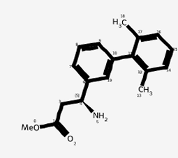 COC(=O)C[C@H](N)c1cccc(-c2c(C)cccc2C)c1